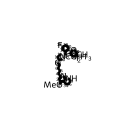 COc1cc(CCCCO[C@@H]2CCN([C@@H](C(=O)O)c3cc(F)ccc3[C@H]3CCC(C)(I)CO3)C2)nc2c1CCCN2